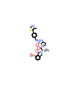 Cc1ncsc1-c1ccc(CNC(=O)[C@@H]2CCCN2C(=O)[C@H](C(C)C)N2Cc3cccc(Br)c3C2=O)cc1